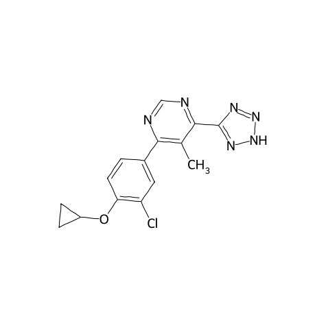 Cc1c(-c2ccc(OC3CC3)c(Cl)c2)ncnc1-c1nn[nH]n1